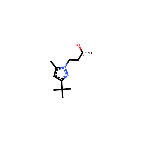 Cc1cc(C(C)(C)C)nn1CC[C@@H](C)O